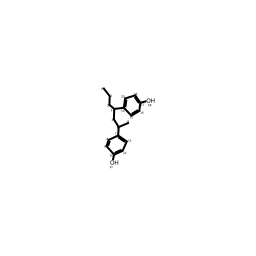 CCCC(CC(C)c1ccc(O)cc1)c1ccc(O)cc1